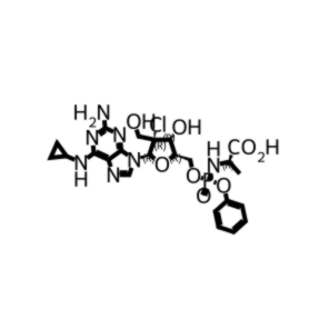 C[C@@H](NP(=O)(OC[C@H]1O[C@@H](n2cnc3c(NC4CC4)nc(N)nc32)[C@@](Cl)(CO)[C@@H]1O)Oc1ccccc1)C(=O)O